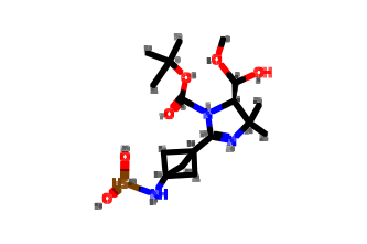 COC(O)[C@@H]1N(C(=O)OC(C)(C)C)C(C23CC(N[SH](=O)=O)(C2)C3)=NC1(C)C